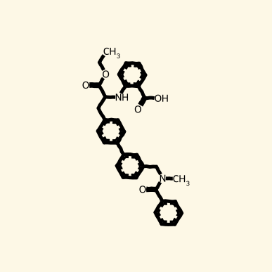 CCOC(=O)C(Cc1ccc(-c2cccc(CN(C)C(=O)c3ccccc3)c2)cc1)Nc1ccccc1C(=O)O